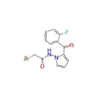 O=C(CBr)Nn1cccc1C(=O)c1ccccc1F